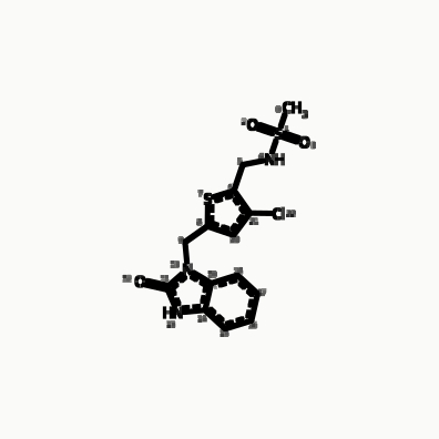 CS(=O)(=O)NCc1sc(Cn2c(=O)[nH]c3ccccc32)cc1Cl